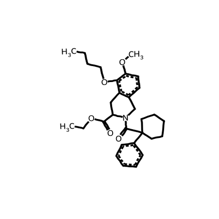 CCCCOc1c(OC)ccc2c1CC(C(=O)OCC)N(C(=O)C1(c3ccccc3)CCCCC1)C2